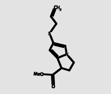 C=CCSc1cc2n(c1)CCC2C(=O)OC